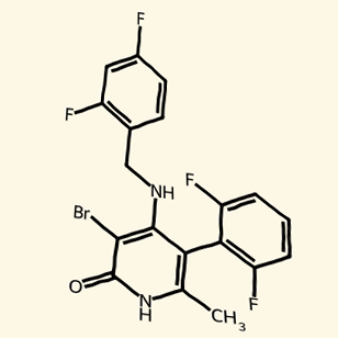 Cc1[nH]c(=O)c(Br)c(NCc2ccc(F)cc2F)c1-c1c(F)cccc1F